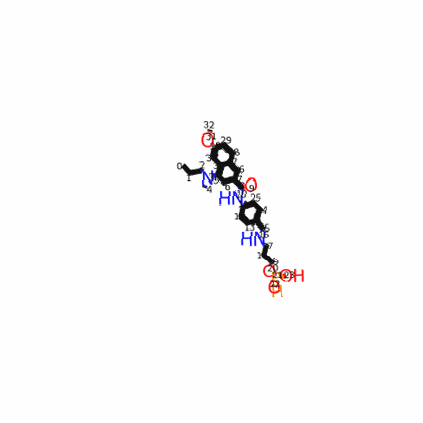 CCCN(C)c1cc(C(=O)Nc2ccc(CNCCCO[PH](=O)O)cc2)cc2ccc(OC)cc12